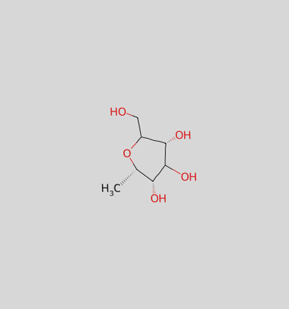 C[C@@H]1OC(CO)[C@H](O)C(O)[C@@H]1O